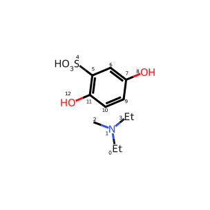 CCN(C)CC.O=S(=O)(O)c1cc(O)ccc1O